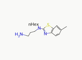 CCCCCCN(CCCN)c1nc2ccc(C)cc2s1